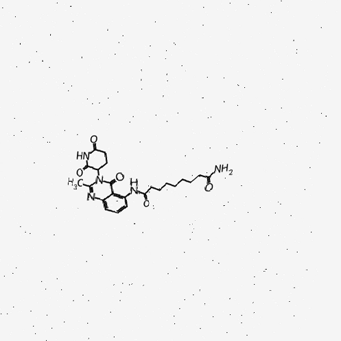 Cc1nc2cccc(NC(=O)CCCCCCCC(N)=O)c2c(=O)n1C1CCC(=O)NC1=O